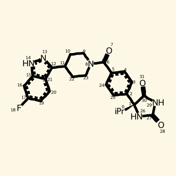 CC(C)[C@]1(c2ccc(C(=O)N3CCC(c4n[nH]c5cc(F)ccc45)CC3)cc2)NC(=O)NC1=O